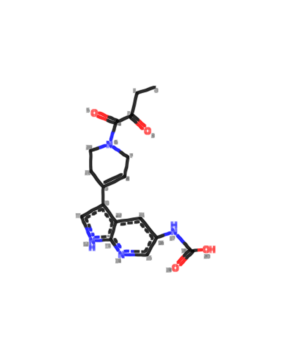 CCC(=O)C(=O)N1CC=C(c2c[nH]c3ncc(NC(=O)O)cc23)CC1